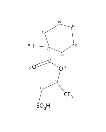 O=C(OC(CS(=O)(=O)O)C(F)(F)F)C1(I)CCCCC1